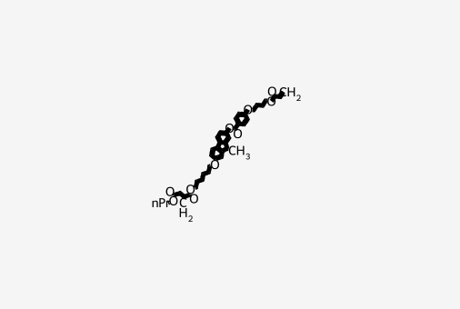 C=CC(=O)OCCCCOc1ccc(C(=O)Oc2ccc3c(c2)C(C)c2cc(OCCCCCCOC(=O)C(=C)CC(=O)OCCC)ccc2-3)cc1